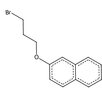 BrCCCOc1ccc2ccccc2c1